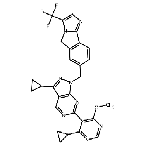 COc1ncnc(C2CC2)c1-c1ncc2c(C3CC3)nn(Cc3ccc4c(c3)Cn3c(C(F)(F)F)cnc3-4)c2n1